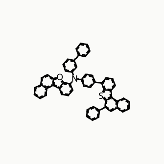 c1ccc(-c2cccc(N(c3ccc(-c4cccc5c4sc4c(-c6ccccc6)cc6ccccc6c45)cc3)c3cccc4c3oc3ccc5ccccc5c34)c2)cc1